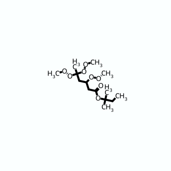 CCC(C)(C)OC(=O)CC(CC(C)(OOC)OOC)OOC